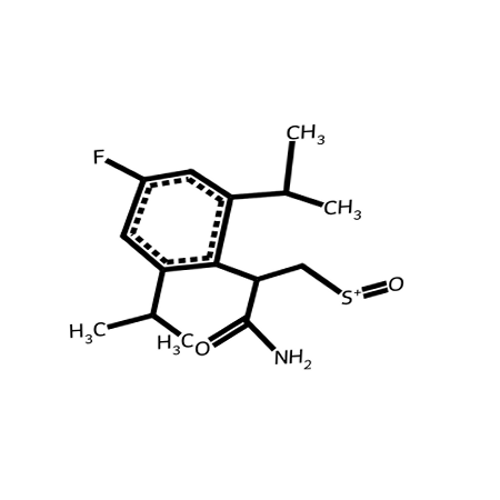 CC(C)c1cc(F)cc(C(C)C)c1C(C[S+]=O)C(N)=O